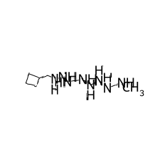 CNNNNNNNNCC1CCC1